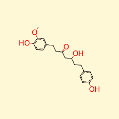 COc1cc(CCC(=O)CC(O)CCc2ccc(O)cc2)ccc1O